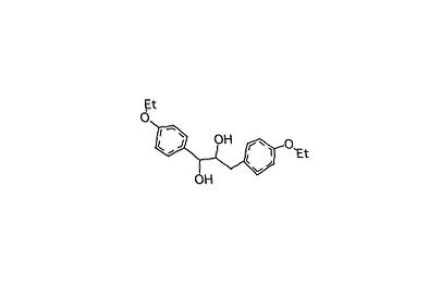 CCOc1ccc(CC(O)C(O)c2ccc(OCC)cc2)cc1